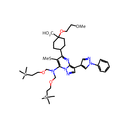 COCCOC1(C(=O)O)CCC(c2nc3c(-c4cnn(-c5ccccc5)c4)cnn3c(N(COCC[Si](C)(C)C)COCC[Si](C)(C)C)c2SC)CC1